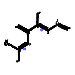 C=N/C=C(\C)C(=C)/C=C(/C)C(C)C